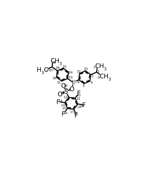 CC(C)c1ccc([I+](OS(=O)(=O)c2c(F)c(F)c(F)c(F)c2F)c2ccc(C(C)C)cc2)cc1